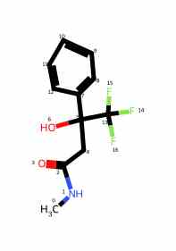 CNC(=O)CC(O)(c1ccccc1)C(F)(F)F